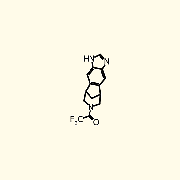 O=C(N1CC2CC(C1)c1cc3[nH]cnc3cc12)C(F)(F)F